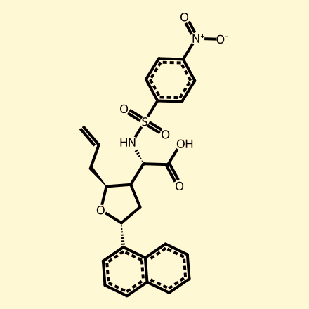 C=CC[C@@H]1O[C@@H](c2cccc3ccccc23)CC1[C@H](NS(=O)(=O)c1ccc([N+](=O)[O-])cc1)C(=O)O